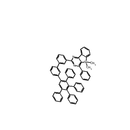 C[Si]1(C)c2ccccc2-c2nc(-c3cccc(-c4cccc(-c5cc(-c6ccccc6)c(-c6ccccc6)c(-c6ccccc6)c5-c5ccccc5)c4)c3)nc(-c3ccccc3)c21